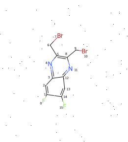 Fc1cc2nc(CBr)c(CBr)nc2cc1F